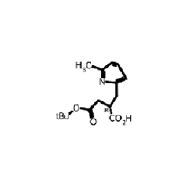 Cc1cccc(C[C@H](CC(=O)OC(C)(C)C)C(=O)O)n1